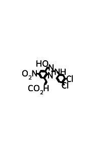 O=C(O)C=Cc1cc([N+](=O)[O-])cc2c(O)nc(Nc3ccc(Cl)c(Cl)c3)nc12